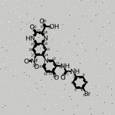 O=C(Nc1ccc(Br)cc1)Nc1cn(-c2cc3nc(C(=O)O)c(=O)[nH]c3cc2[N+](=O)[O-])ccc1=O